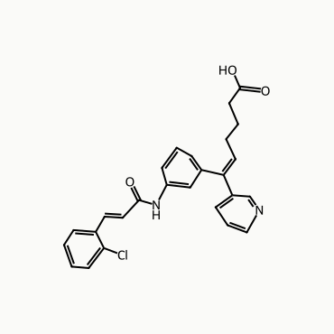 O=C(O)CCCC=C(c1cccnc1)c1cccc(NC(=O)C=Cc2ccccc2Cl)c1